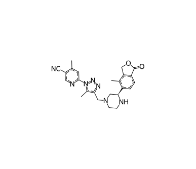 Cc1cc(-n2nnc(CN3CCN[C@H](c4ccc5c(c4C)COC5=O)C3)c2C)ncc1C#N